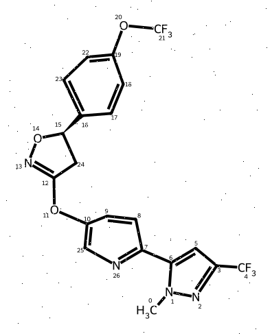 Cn1nc(C(F)(F)F)cc1-c1ccc(OC2=NO[C@@H](c3ccc(OC(F)(F)F)cc3)C2)cn1